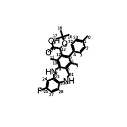 Cc1ccc(-c2c(C)c3c(c(C)c2[C@H](OC(C)(C)C)C(=O)O)Nc2cc(F)ccc2NC3)cc1